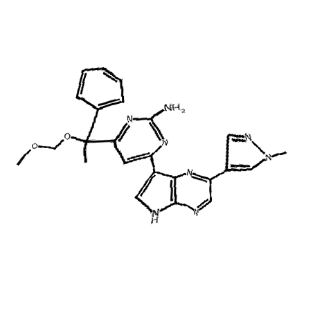 COCOC(C)(c1ccccc1)c1cc(-c2c[nH]c3ncc(-c4cnn(C)c4)nc23)nc(N)n1